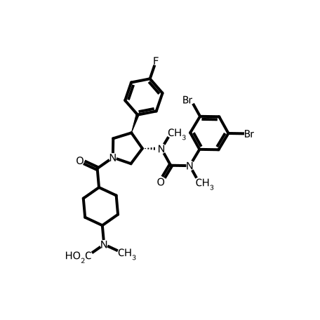 CN(C(=O)N(C)[C@@H]1CN(C(=O)C2CCC(N(C)C(=O)O)CC2)C[C@H]1c1ccc(F)cc1)c1cc(Br)cc(Br)c1